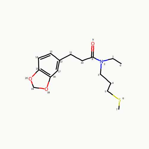 CCN(CCCSC)C(=O)CCc1ccc2c(c1)OCO2